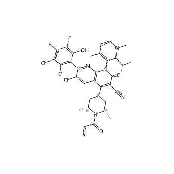 C=CC(=O)N1[C@H](C)CN(c2c(C#N)c(=O)n(C3=C(C)C=CN(C)C3C(C)C)c3nc(-c4c(O)c(F)c(F)c(Cl)c4Cl)c(Cl)cc23)C[C@@H]1C